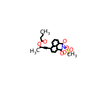 CCCC(=O)OC(C)C#Cc1ccc2c3c(cccc13)C(=O)N(OS(C)(=O)=O)C2=O